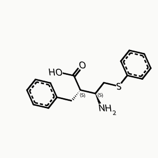 N[C@H](CSc1ccccc1)[C@H](Cc1ccccc1)C(=O)O